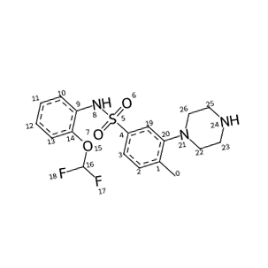 Cc1ccc(S(=O)(=O)Nc2ccccc2OC(F)F)cc1N1CCNCC1